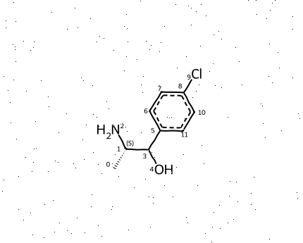 C[C@H](N)C(O)c1ccc(Cl)cc1